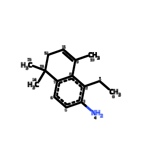 CCc1c(N)ccc2c1C(C)=CCC2(C)C